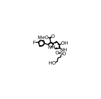 COC(=O)c1c(-c2ccc(F)cc2)nn2cc(NS(=O)(=O)CCCO)c(O)cc12